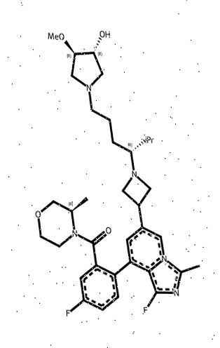 CO[C@@H]1CN(CCC[C@H](C(C)C)N2CC(c3cc(-c4ccc(F)cc4C(=O)N4CCOC[C@H]4C)c4c(F)nc(C)n4c3)C2)C[C@H]1O